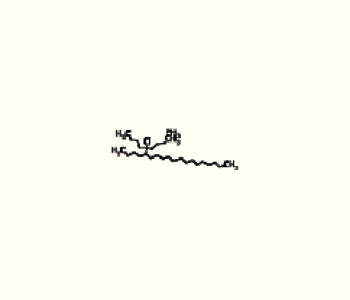 CCCCCCCCCCCCCCC(CCCC)C(Cl)(CCCC)CCCC.P